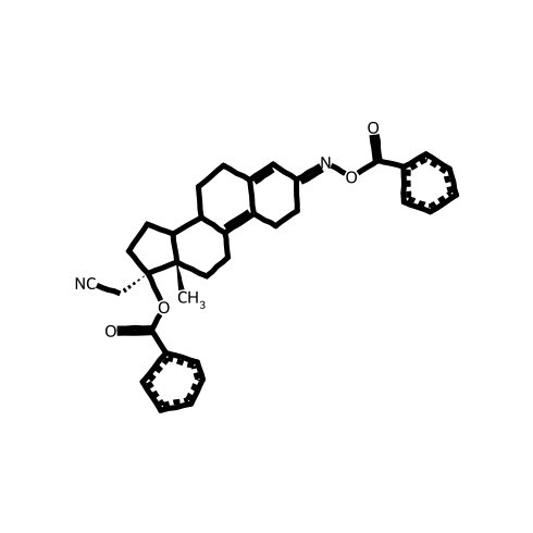 C[C@]12CCC3=C4CCC(=NOC(=O)c5ccccc5)C=C4CCC3C1CC[C@]2(CC#N)OC(=O)c1ccccc1